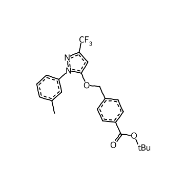 Cc1cccc(-n2nc(C(F)(F)F)cc2OCc2ccc(C(=O)OC(C)(C)C)cc2)c1